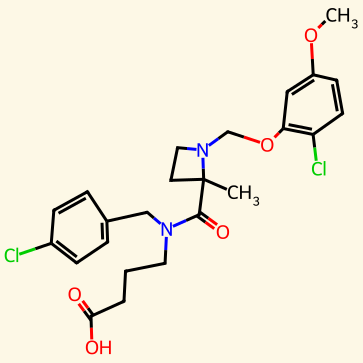 COc1ccc(Cl)c(OCN2CCC2(C)C(=O)N(CCCC(=O)O)Cc2ccc(Cl)cc2)c1